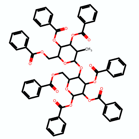 CC1C(OC2C(COC(=O)c3ccccc3)OC(OC(=O)c3ccccc3)C(OC(=O)c3ccccc3)C2OC(=O)c2ccccc2)OC(COC(=O)c2ccccc2)C(OC(=O)c2ccccc2)C1OC(=O)c1ccccc1